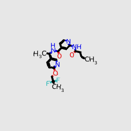 CCCC(=O)Nc1cc(C(=O)NC(C)c2ccc(OCC(C)(F)F)nc2)ccn1